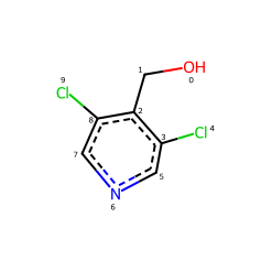 OCc1c(Cl)cncc1Cl